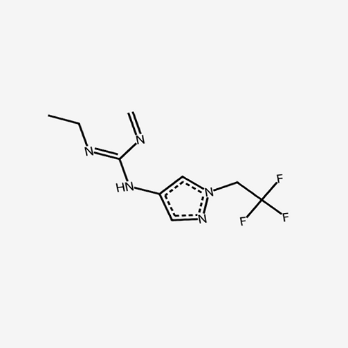 C=N/C(=N\CC)Nc1cnn(CC(F)(F)F)c1